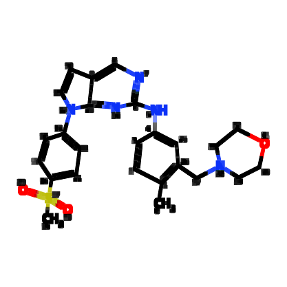 Cc1ccc(Nc2ncc3ccn(-c4ccc(S(C)(=O)=O)cc4)c3n2)cc1CN1CCOCC1